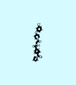 O=C(NCC(=O)N1CCC(Oc2cccc(C(F)(F)F)c2)CC1)c1ccc(C(=O)N2CCCC2)cc1